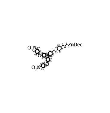 CCCCCCCCCCCCCCC[C@H]1CC[C@H](CCC2CCC(c3ccc(Oc4ccc([N+](=O)[O-])cc4)cc3)(c3ccc(Oc4ccc([N+](=O)[O-])cc4)cc3)CC2)CC1